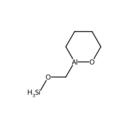 [SiH3]O[CH2][Al]1[CH2]CCC[O]1